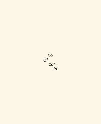 [Co+2].[Co].[O-2].[Pt]